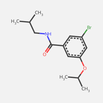 CC(C)CNC(=O)c1cc(Br)cc(OC(C)C)c1